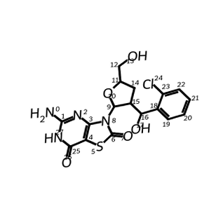 Nc1nc2c(sc(=O)n2C2OC(CO)CC2C(O)c2ccccc2Cl)c(=O)[nH]1